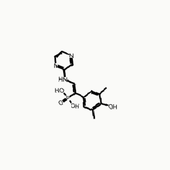 Cc1cc(C(=CNc2cnccn2)P(=O)(O)O)cc(C)c1O